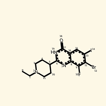 CCN1CCC(c2nc3c(F)c(Br)c(I)cc3c(=O)[nH]2)CC1